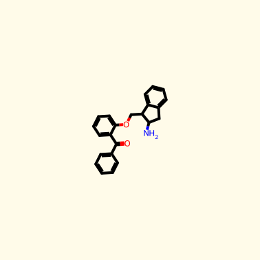 NC1Cc2ccccc2C1COc1ccccc1C(=O)c1ccccc1